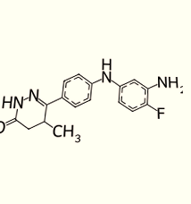 CC1CC(=O)NN=C1c1ccc(Nc2ccc(F)c(N)c2)cc1